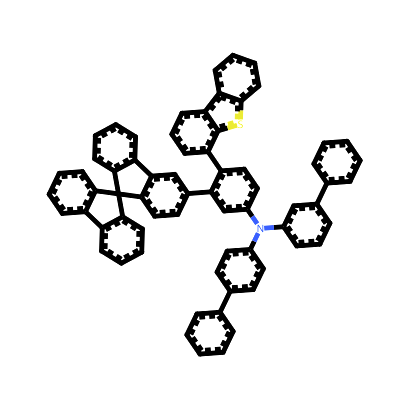 c1ccc(-c2ccc(N(c3cccc(-c4ccccc4)c3)c3ccc(-c4cccc5c4sc4ccccc45)c(-c4ccc5c(c4)-c4ccccc4C54c5ccccc5-c5ccccc54)c3)cc2)cc1